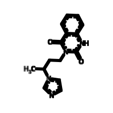 CC(CCn1c(=O)[nH]c2ccccc2c1=O)n1ccnc1